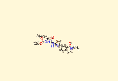 COC[C@H](NC(=O)OC(C)(C)C)C(=O)Nc1nc(-c2ccc3c(c2)C(=O)N(C)CC3)cs1